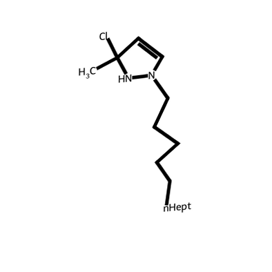 CCCCCCCCCCCCN1C=CC(C)(Cl)N1